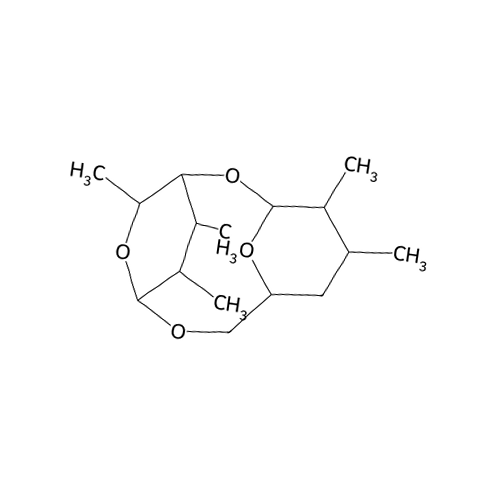 CC1CC2COC3OC(C)C(OC(O2)C1C)C(C)C3C